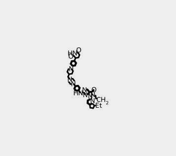 C=CCn1c(=O)c2cnc(Nc3ccc(N4CCN(CC5CCN(c6ccc(C7CCC(=O)NC7=O)cc6)CC5)CC4)cc3)nc2n1-c1ccc2c(n1)C(CC)CC2